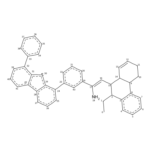 CCC1c2ccccc2C2CCC=CC2C1/C=C(\N)c1cccc(-c2cccc3c2sc2c(-c4ccccc4)cccc23)c1